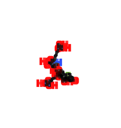 C[C@]12C=CC(=O)C=C1CCC1C3C[C@@H](O)[C@](OC(=O)CCCON(O)O)(C(=O)COC(=O)CC(NC(=O)CCCCCON(O)O)C(=O)O)[C@@]3(C)C[C@H](O)[C@@]12F